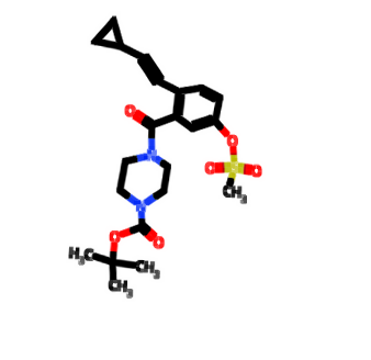 CC(C)(C)OC(=O)N1CCN(C(=O)c2cc(OS(C)(=O)=O)ccc2C#CC2CC2)CC1